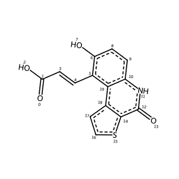 O=C(O)C=Cc1c(O)ccc2[nH]c(=O)c3sccc3c12